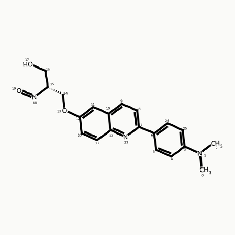 CN(C)c1ccc(-c2ccc3cc(OC[C@@H](CO)N=O)ccc3n2)cc1